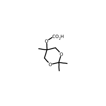 CC1(OC(=O)O)COC(C)(C)OC1